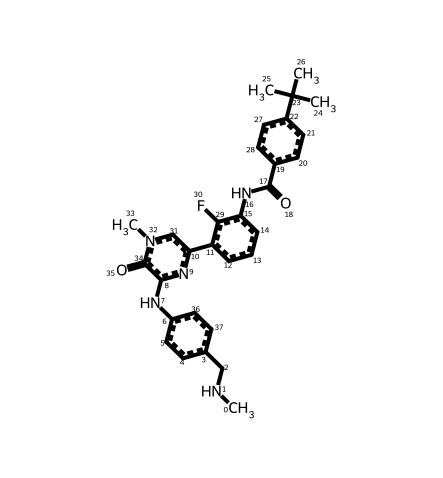 CNCc1ccc(Nc2nc(-c3cccc(NC(=O)c4ccc(C(C)(C)C)cc4)c3F)cn(C)c2=O)cc1